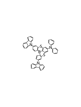 c1ccc(N(c2ccccc2)c2cc3c4c(c2)Sc2cc(-n5c6ccccc6c6ccccc65)ccc2B4c2ccc(-n4c5ccccc5c5ccccc54)cc2S3)cc1